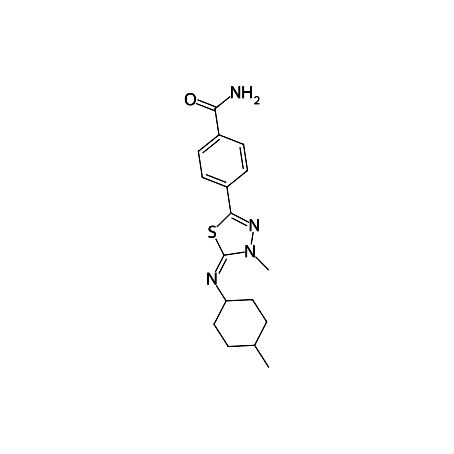 CC1CCC(N=c2sc(-c3ccc(C(N)=O)cc3)nn2C)CC1